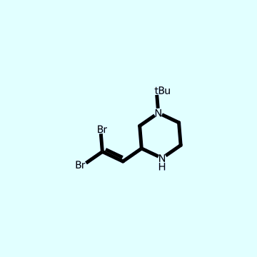 CC(C)(C)N1CCNC(C=C(Br)Br)C1